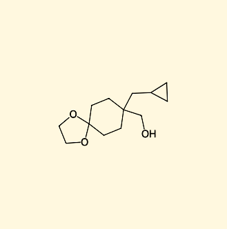 OCC1(CC2CC2)CCC2(CC1)OCCO2